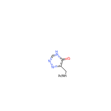 CC(=O)NCc1nnc[nH]c1=O